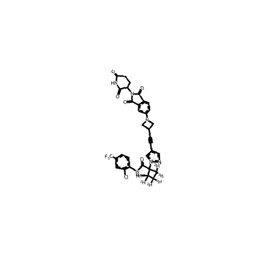 [2H]C1([2H])C([2H])([2H])C(C(=O)Nc2ccc(C(F)(F)F)cc2Cl)(n2cc(C#CC3CN(c4ccc5c(c4)C(=O)N(C4CCC(=O)NC4=O)C5=O)C3)cn2)C1([2H])[2H]